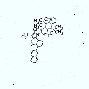 Cc1c(C)n(-c2ccc3c(C(C)(C)C)c4ccccc4c(C(C)(C)C)c3c2)c2c1ccc1c(-c3ccc4ccccc4c3)cccc12